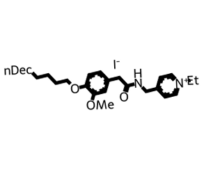 CCCCCCCCCCCCCCOc1ccc(CC(=O)NCc2cc[n+](CC)cc2)cc1OC.[I-]